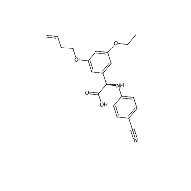 C=CCCOc1cc(OCC)cc([C@@H](Nc2ccc(C#N)cc2)C(=O)O)c1